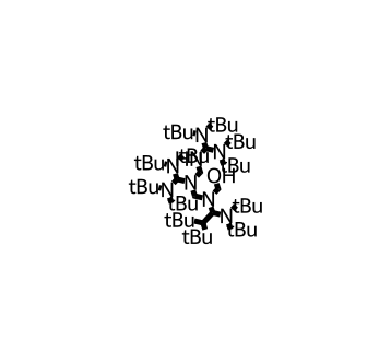 CC(C)(C)C(C(N(CO)CN(CNC(N(C(C)(C)C)C(C)(C)C)N(C(C)(C)C)C(C)(C)C)C(N(C(C)(C)C)C(C)(C)C)N(C(C)(C)C)C(C)(C)C)N(C(C)(C)C)C(C)(C)C)C(C)(C)C